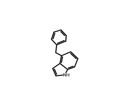 c1ccc(Cc2cccc3[nH]ccc23)cc1